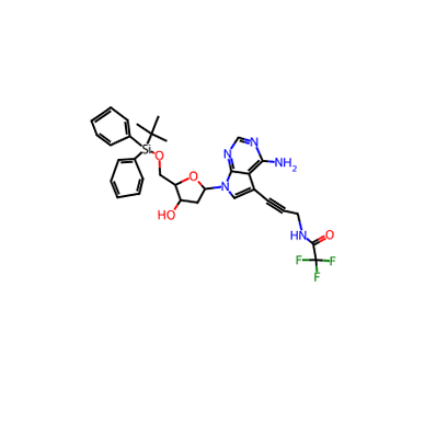 CC(C)(C)[Si](OCC1OC(n2cc(C#CCNC(=O)C(F)(F)F)c3c(N)ncnc32)CC1O)(c1ccccc1)c1ccccc1